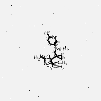 CN(CC1(C(OC(N)=O)C(C)(C)C)CC1)c1ccc(Cl)nc1